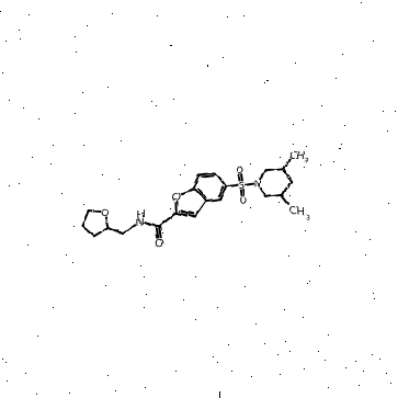 CC1CC(C)CN(S(=O)(=O)c2ccc3oc(C(=O)NCC4CCCO4)cc3c2)C1